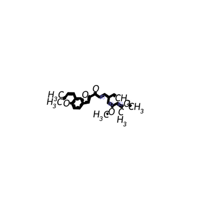 C=CC(/C=C/C(=O)c1cc2ccc3c(c2o1)C=CC(C)(C)O3)/C=C(\C=C(/C)OC)OC